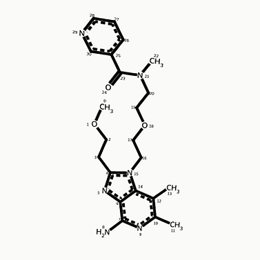 COCCc1nc2c(N)nc(C)c(C)c2n1CCOCCN(C)C(=O)c1cccnc1